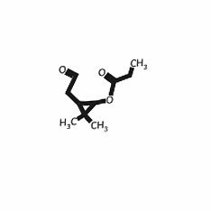 CCC(=O)OC1C(CC=O)C1(C)C